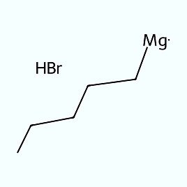 Br.CCCC[CH2][Mg]